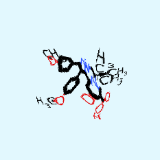 COc1ccc(-c2nn3c(c2-c2ccc(OC)cc2)-c2cc(=O)c(C(=O)O)cn2[C@H](C(C)(C)C)C3)cc1